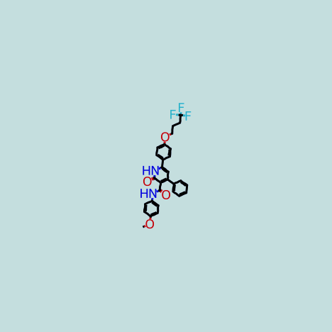 COc1ccc(NC(=O)c2c(-c3ccccc3)cc(-c3ccc(OCCCC(F)(F)F)cc3)[nH]c2=O)cc1